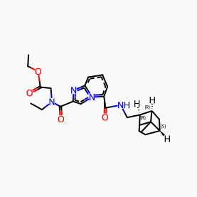 CCOC(=O)CN(CC)C(=O)c1cn2c(C(=O)NC[C@@H]3CC[C@H]4C[C@H]3C4(C)C)cccc2n1